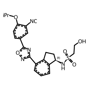 [C-]#[N+]c1cc(-c2nc(-c3cccc4c3CC[C@H]4NS(=O)(=O)CCO)no2)ccc1OC(C)C